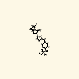 CCS(=O)(=O)NC1CCC(CN2CC[C@@H](C3Cc4cnc(C)n4C3=O)C2)CC1